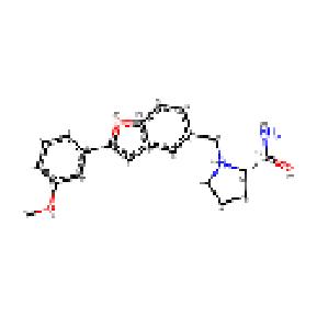 COc1cccc(-c2cc3cc(CN4CCC[C@H]4C(N)=O)ccc3o2)c1